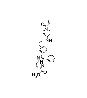 C=CC(=O)N1CCC(N[C@H]2CCc3cc(-c4nc5ccc(C(N)=O)nn5c4-c4ccccc4)ccc32)CC1